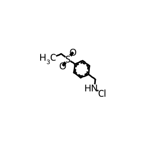 CCS(=O)(=O)c1ccc(CNCl)cc1